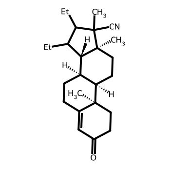 CCC1C(CC)C(C)(C#N)[C@@]2(C)CC[C@@H]3[C@@H](CCC4=CC(=O)CC[C@@]43C)[C@H]12